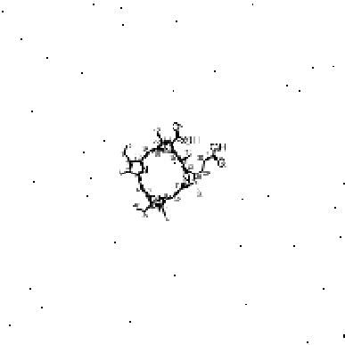 CCC1=C(C)c2cc3[nH]c(cc4nc(c(C)c5[nH]c(cc1n2)c(C)c5C(=O)O)[C@@H](CCC(=O)O)[C@@H]4C)c(C)c3CC